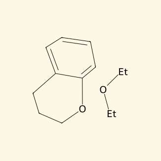 CCOCC.c1ccc2c(c1)CCCO2